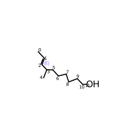 C/C=C/C(C)CCCCCCO